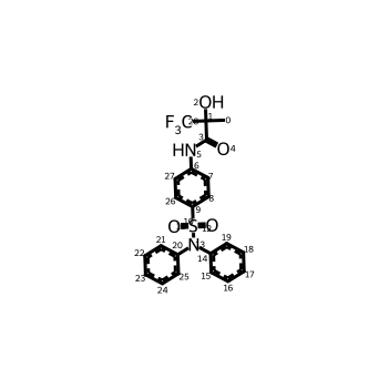 CC(O)(C(=O)Nc1ccc(S(=O)(=O)N(c2ccccc2)c2ccccc2)cc1)C(F)(F)F